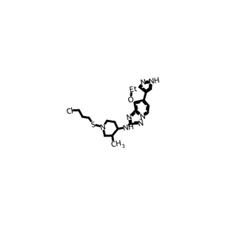 CCOc1c(-c2cn[nH]c2)ccn2nc(NC3CCN(SCCCCl)CC3C)nc12